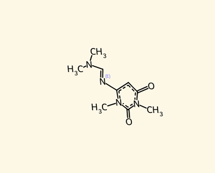 CN(C)/C=N/c1cc(=O)n(C)c(=O)n1C